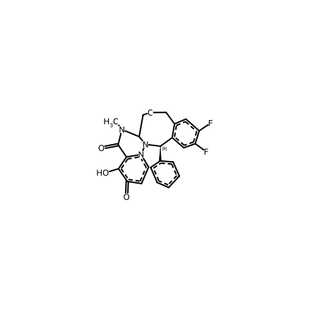 CN1C(=O)c2c(O)c(=O)ccn2N2C1CCCc1cc(F)c(F)cc1[C@H]2c1ccccc1